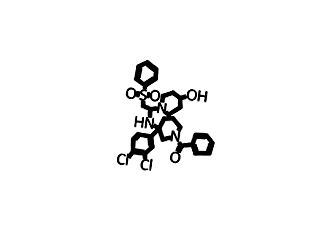 O=C(c1ccccc1)N1CCCC(NC(CS(=O)(=O)c2ccccc2)N2CCC(O)CC2)(c2ccc(Cl)c(Cl)c2)C1